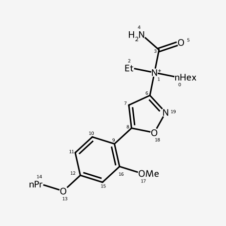 CCCCCC[N+](CC)(C(N)=O)c1cc(-c2ccc(OCCC)cc2OC)on1